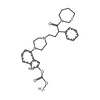 COC(=O)Oc1cc2c(N3CCN(CCC(C(=O)N4CCCCCC4)c4ccccc4)CC3)cccc2[nH]1